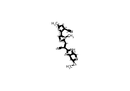 COc1cc2nc(/C(C#N)=C/c3ncc(-c4sc(C)cc4C#N)n3C)[nH]c2cn1